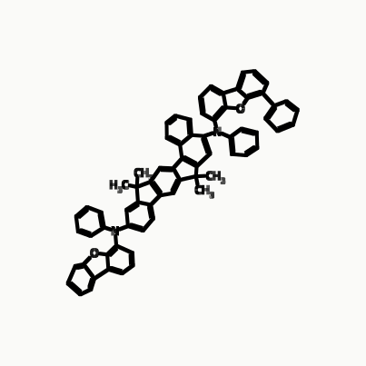 CC1(C)c2cc(N(c3ccccc3)c3cccc4c3oc3ccccc34)ccc2-c2cc3c(cc21)-c1c(cc(N(c2ccccc2)c2cccc4c2oc2c(-c5ccccc5)cccc24)c2ccccc12)C3(C)C